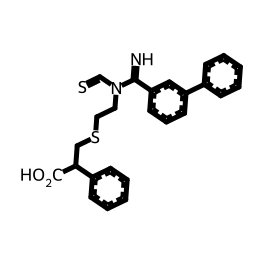 N=C(c1cccc(-c2ccccc2)c1)N(C=S)CCSCC(C(=O)O)c1ccccc1